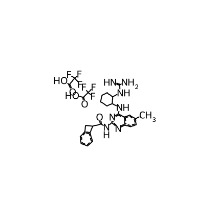 Cc1ccc2nc(NC(=O)C3Cc4ccccc43)nc(NC3CCCCC3NC(=N)N)c2c1.O=C(O)C(F)(F)F.O=C(O)C(F)(F)F